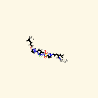 CC1(C)CC(CCCn2ccc(S(=O)(=O)NC(=O)c3ccc(-n4ccc(OCCCC5CC5C(F)(F)F)n4)nc3Cl)n2)CN1C(=O)O